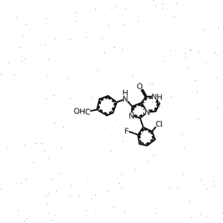 O=Cc1ccc(Nc2nc(-c3c(F)cccc3Cl)n3cc[nH]c(=O)c23)cc1